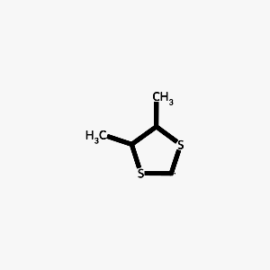 CC1S[CH]SC1C